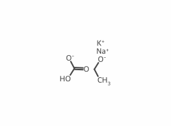 CC[O-].O=C([O-])O.[K+].[Na+]